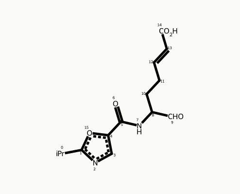 CC(C)c1ncc(C(=O)NC(C=O)CCC=CC(=O)O)o1